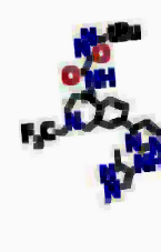 Cc1nn(C)cc1Nc1nccc(-c2ccc3c(c2)CN(CC(F)(F)F)CC[C@H]3NC(=O)c2nnc(C(C)(C)C)o2)n1